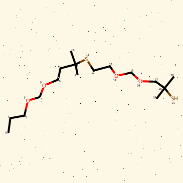 CCCOCOCCC(C)(C)SCCOCOCC(C)(C)S